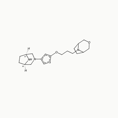 c1sc(OCCCN2C3CCC2COC3)cc1N1C[C@H]2CC[C@@H](C1)N2